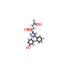 COc1ccc(-n2nc(C(O)CCC(C)O)cc2-c2ccccc2)cc1